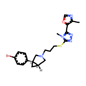 Cc1ncoc1-c1nnc(SCCCN2C[C@@H]3C[C@]3(c3ccc(Br)cc3)C2)n1C